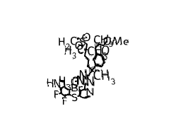 C=CS(=O)(=O)CC(C)(C)CCC[C@](C)(c1cccc(C[C@@H](C)C(=O)OC)c1)c1nc(-c2cc(Sc3c(F)c(F)c4[nH]ccc4c3Br)ccn2)n(C)n1